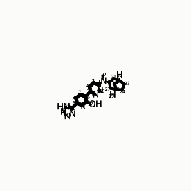 CN(c1ccc(-c2ccc(-c3nnn[nH]3)cc2O)nn1)[C@H]1C[C@@H]2CC[C@@H](C2)C1